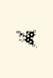 Cc1cc2nc(C(F)(F)F)ccc2c(-c2ccc(Cl)cc2)c1[C@@H](COC(=O)C(C)(C)C)OC(C)(C)C